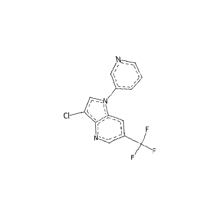 FC(F)(F)c1cnc2c(Cl)cn(-c3cccnc3)c2c1